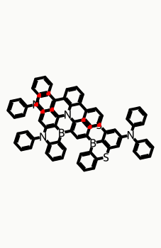 c1ccc(-c2cccc(-c3ccccc3)c2N2c3cc4c(cc3B3c5ccccc5N(c5ccccc5)c5cc(N(c6ccccc6)c6ccccc6)cc2c53)B2c3ccccc3Sc3cc(N(c5ccccc5)c5ccccc5)cc(c32)S4)cc1